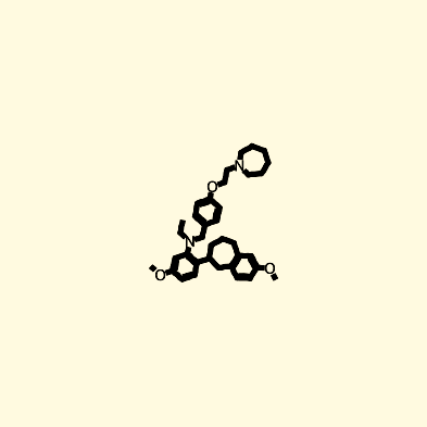 CCN(Cc1ccc(OCCN2CCCCCC2)cc1)c1cc(OC)ccc1C1CCCc2cc(OC)ccc2C1